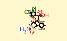 CC1(C2CCN(C(N)=O)CC2c2ccccc2)CC(C(=O)O)c2cc(Cl)c(Cl)cc2O1